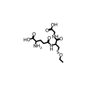 CCOSCC(NC(=O)CCC(N)C(=O)O)C(=O)NCC(=O)O